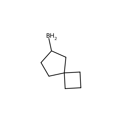 BC1CCC2(CCC2)C1